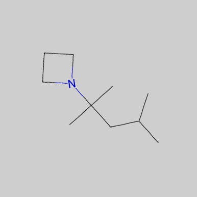 CC(C)CC(C)(C)N1CCC1